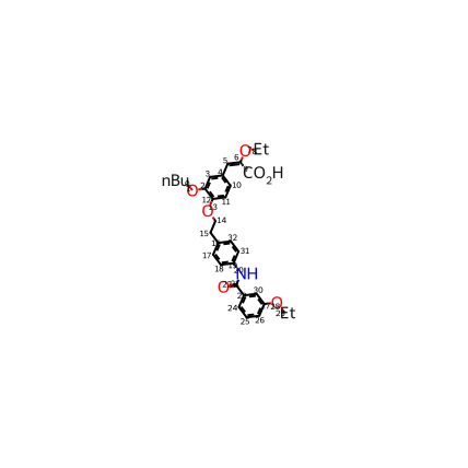 CCCCOc1cc(/C=C(/OCC)C(=O)O)ccc1OCCc1ccc(NC(=O)c2cccc(OCC)c2)cc1